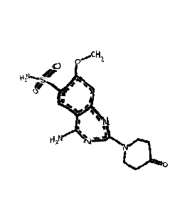 COc1cc2nc(N3CCC(=O)CC3)nc(N)c2cc1S(N)(=O)=O